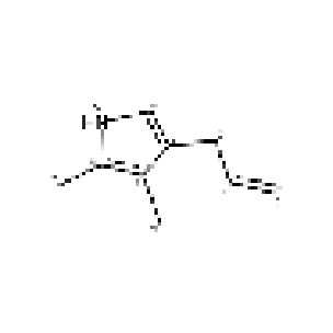 C=CCc1c[nH]c(C)c1C